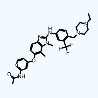 CCN1CCN(Cc2ccc(Nc3nc4ccc(Oc5ccnc(NC(C)=O)c5)c(C)c4n3C)cc2C(F)(F)F)CC1